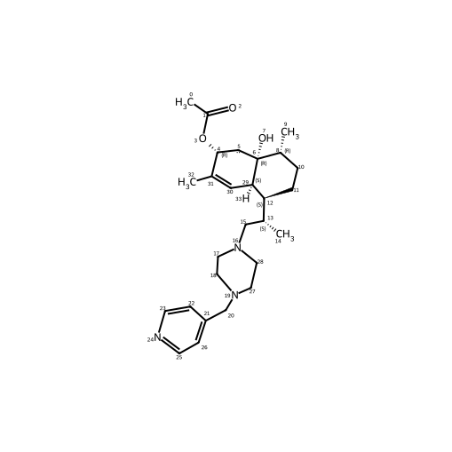 CC(=O)O[C@@H]1[C][C@@]2(O)[C@H](C)CC[C@@H]([C@H](C)CN3CCN(Cc4ccncc4)CC3)[C@H]2C=C1C